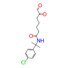 CC(C)(NC(=O)CCCCC(=O)C=O)c1ccc(Cl)cc1